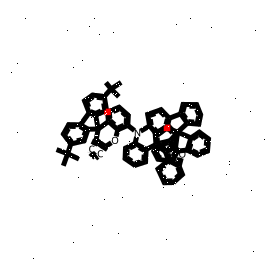 CC(C)(C)c1ccc2c(c1)C1(c3ccccc3Oc3c(N(c4ccc5c(c4)C4(c6ccccc6-c6ccccc64)c4ccccc4-5)c4ccccc4-c4cccc5oc6ccccc6c45)cccc31)c1cc(C(C)(C)C)ccc1-2